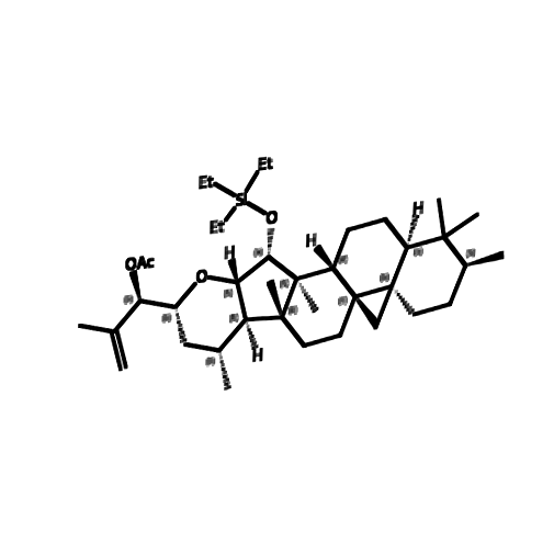 C=C(C)[C@@H](OC(C)=O)[C@H]1C[C@@H](C)[C@H]2[C@H](O1)[C@H](O[Si](CC)(CC)CC)[C@@]1(C)[C@@H]3CC[C@H]4C(C)(C)[C@@H](C)CC[C@@]45C[C@@]35CC[C@]21C